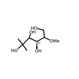 COC(CO)[C@@H](O)C(O)C(C)(C)O